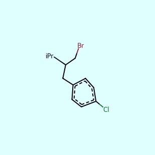 CC(C)C(CBr)Cc1ccc(Cl)cc1